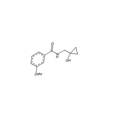 COc1cccc(C(=O)NCC2(O)CC2)c1